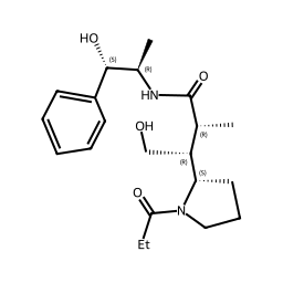 CCC(=O)N1CCC[C@H]1[C@H](CO)[C@@H](C)C(=O)N[C@H](C)[C@@H](O)c1ccccc1